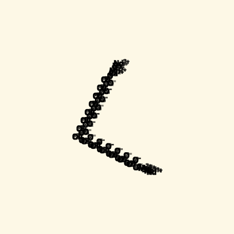 [Ca+2].[Ca+2].[Mn+2].[Mn+2].[Nb+5].[Nb+5].[Nd+3].[Nd+3].[O]=[Ti]([O-])[O-].[O]=[Ti]([O-])[O-].[O]=[Ti]([O-])[O-].[O]=[Ti]([O-])[O-].[O]=[Ti]([O-])[O-].[O]=[Ti]([O-])[O-].[O]=[Ti]([O-])[O-].[O]=[Zr]([O-])[O-].[O]=[Zr]([O-])[O-].[O]=[Zr]([O-])[O-].[O]=[Zr]([O-])[O-].[O]=[Zr]([O-])[O-].[O]=[Zr]([O-])[O-].[O]=[Zr]([O-])[O-].[Sr+2].[Sr+2]